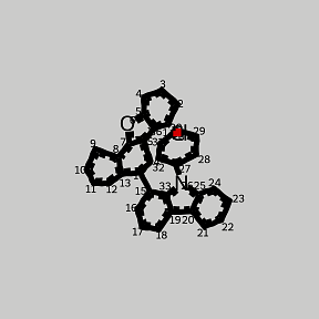 Clc1cccc2oc3c4ccccc4c(-c4cccc5c6ccccc6n(-c6ccccc6)c45)cc3c12